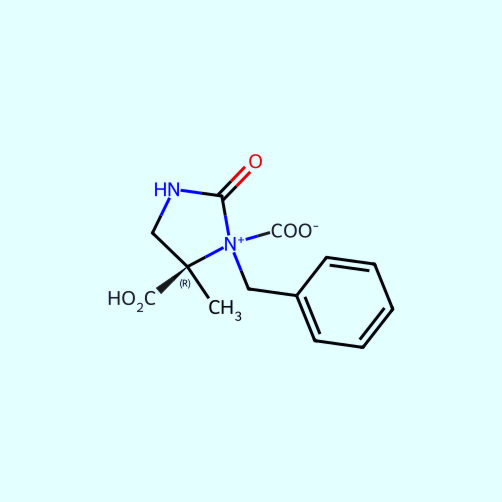 C[C@]1(C(=O)O)CNC(=O)[N+]1(Cc1ccccc1)C(=O)[O-]